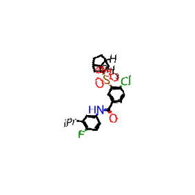 CC(C)c1cc(NC(=O)c2ccc(Cl)c(S(=O)(=O)[C@H]3CC4CC[C@H](C3)[C@]4(C)O)c2)ccc1F